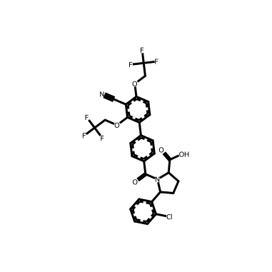 N#Cc1c(OCC(F)(F)F)ccc(-c2ccc(C(=O)N3C(C(=O)O)CCC3c3ccccc3Cl)cc2)c1OCC(F)(F)F